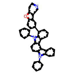 c1ccc(-n2c3ccccc3c3c4c5cccc(-c6ccc7oc8ccncc8c7c6)c5n(-c5ccccc5)c4ccc32)cc1